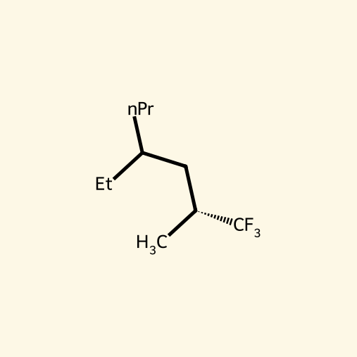 CCCC(CC)C[C@@H](C)C(F)(F)F